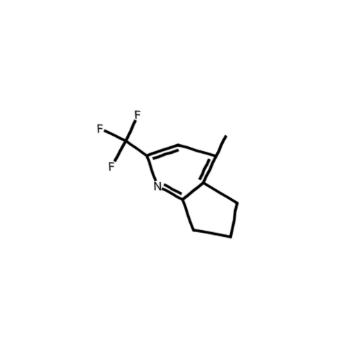 Cc1cc(C(F)(F)F)nc2c1CCC2